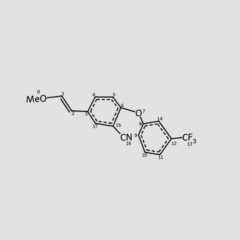 CO/C=C/c1ccc(Oc2cccc(C(F)(F)F)c2)c(C#N)c1